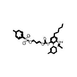 C=C(C)[C@@H]1CCC(C)=C[C@H]1c1c(O)cc(CCCCC)cc1OC(=O)OCCCOS(=O)(=O)c1ccc(C)cc1